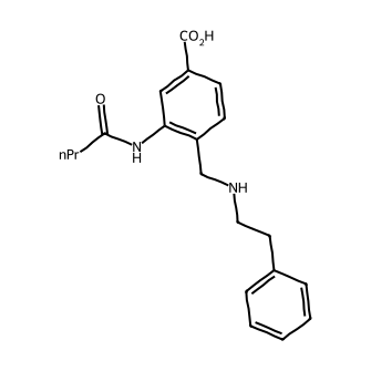 CCCC(=O)Nc1cc(C(=O)O)ccc1CNCCc1ccccc1